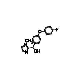 Cn1ccnc1C(O)c1ccc(Oc2ccc(F)cc2)cc1